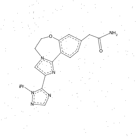 CC(C)n1ncnc1-c1cn2c(n1)-c1ccc(CC(N)=O)cc1OCC2